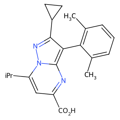 Cc1cccc(C)c1-c1c(C2CC2)nn2c(C(C)C)cc(C(=O)O)nc12